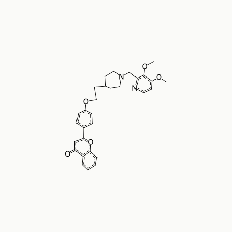 COc1ccnc(CN2CCC(CCOc3ccc(-c4cc(=O)c5ccccc5o4)cc3)CC2)c1OC